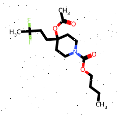 CCCCOC(=O)N1CCC(CCC(C)(F)F)(OC(C)=O)CC1